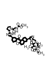 CCCN(Cc1ncc(-c2ccc3c(ccc4oc5ccc(-c6cnc([C@@H]7CCCN7C(=O)CNC(=O)OC)[nH]6)cc5c(=O)c43)c2)[nH]1)C(=O)C(NC(=O)OC)C(C)C